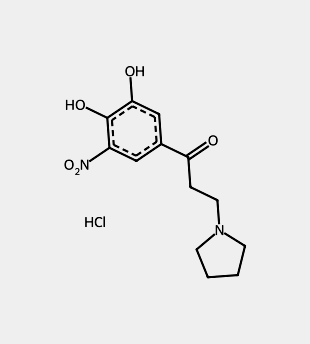 Cl.O=C(CCN1CCCC1)c1cc(O)c(O)c([N+](=O)[O-])c1